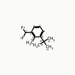 Cc1c(C(F)F)cccc1C(C)(C)C